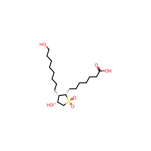 O=C(O)CCCCCC[C@H]1[C@@H](CCCCCCCCO)[C@@H](O)CS1(=O)=O